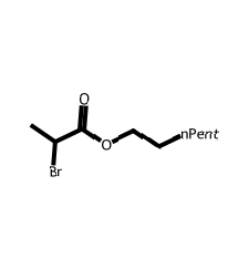 CCCCCCCOC(=O)C(C)Br